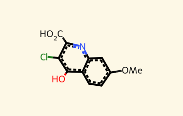 COc1ccc2c(O)c(Cl)c(C(=O)O)nc2c1